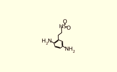 Nc1ccc(N)c(CCC[SH](=O)=O)c1